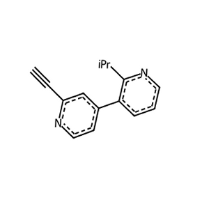 C#Cc1cc(-c2cccnc2C(C)C)ccn1